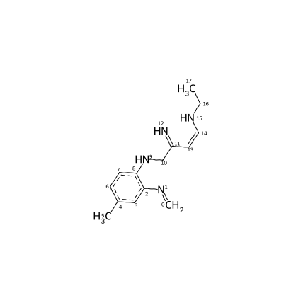 C=Nc1cc(C)ccc1NCC(=N)/C=C\NCC